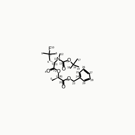 C[C@@H](OC(=O)[C@H](CC(C)(C)F)N(C)C(=O)OC(C)(C)C)C(=O)OCc1ccccc1